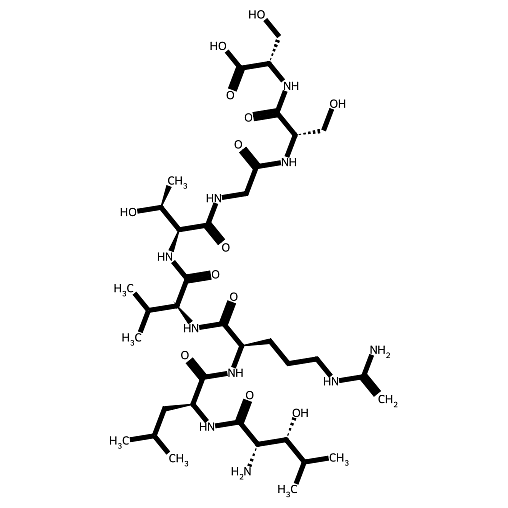 C=C(N)NCCC[C@@H](NC(=O)[C@H](CC(C)C)NC(=O)[C@@H](N)[C@H](O)C(C)C)C(=O)N[C@H](C(=O)N[C@H](C(=O)NCC(=O)N[C@@H](CO)C(=O)N[C@@H](CO)C(=O)O)[C@H](C)O)C(C)C